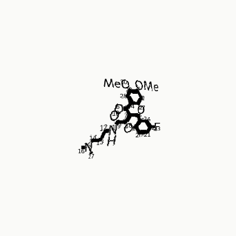 COc1ccc(C(=O)c2c(C(=O)NCCCN(C)C)oc3ccc(F)cc3c2=O)cc1OC